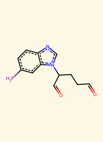 O=CCCC(C=O)n1cnc2ccc(P)cc21